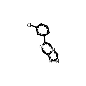 Clc1cccc(-c2cn3cnnc3cn2)c1